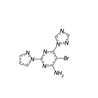 Nc1nc(-n2cccn2)nc(-n2cncn2)c1Br